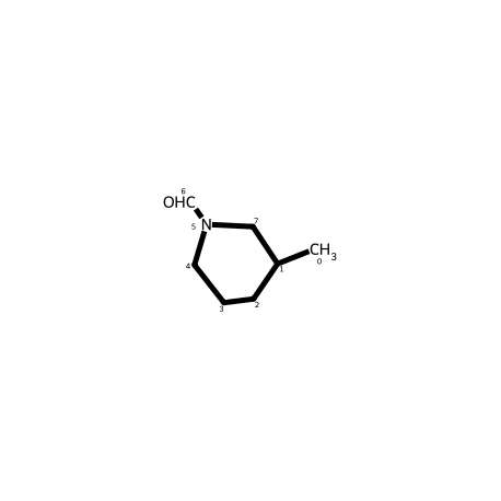 CC1CCCN(C=O)C1